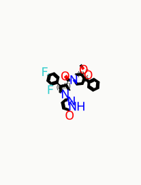 CO[C@H]1CN(C(=O)[C@@H]2CN(c3ccc(=O)[nH]n3)C[C@H]2c2ccc(F)cc2F)CC[C@]1(OC)c1ccccc1